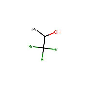 CC(C)C(O)C(Br)(Br)Br